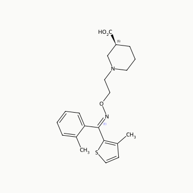 Cc1ccccc1/C(=N\OCCN1CCC[C@H](C(=O)O)C1)c1sccc1C